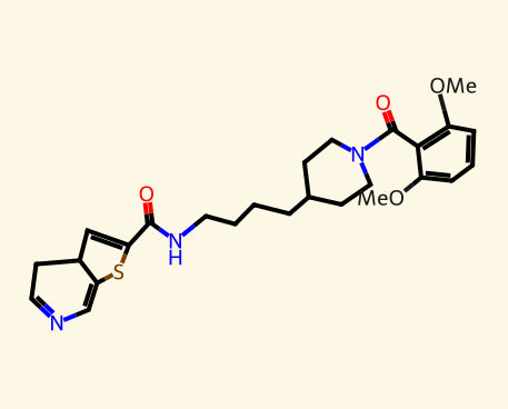 COc1cccc(OC)c1C(=O)N1CCC(CCCCNC(=O)C2=CC3CC=NC=C3S2)CC1